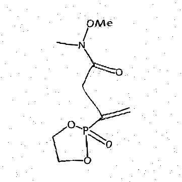 C=C(CC(=O)N(C)OC)P1(=O)OCCO1